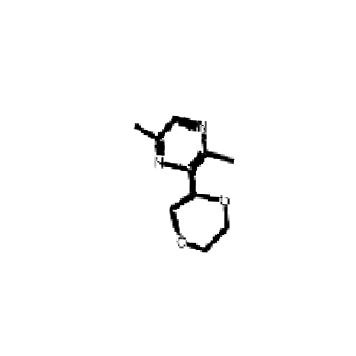 Cc1cnc(C)c(C2COCCO2)n1